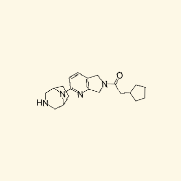 O=C(CC1CCCC1)N1Cc2ccc(N3C4CCC3CNC4)nc2C1